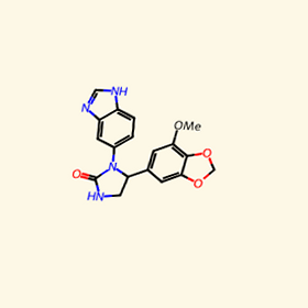 COc1cc(C2CNC(=O)N2c2ccc3[nH]cnc3c2)cc2c1OCO2